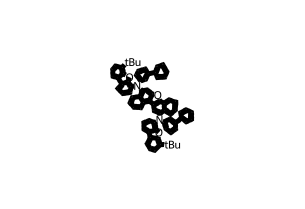 CC(C)(C)c1cccc2c1oc1c(N(c3cccc(-c4ccccc4)c3)c3cc4c(oc5cc(N(c6cccc(-c7ccccc7)c6)c6cccc7c6oc6c(C(C)(C)C)cccc67)c6ccccc6c54)c4ccccc34)cccc12